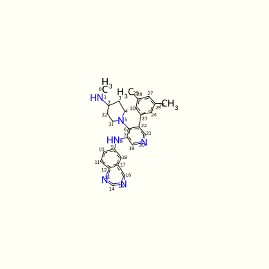 CNC1CCN(c2c(Nc3ccc4ncncc4c3)cncc2-c2cc(C)cc(C)c2)CC1